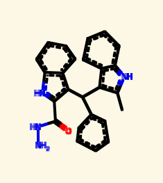 Cc1[nH]c2ccccc2c1C(c1ccccc1)c1c(C(=O)NN)[nH]c2ccccc12